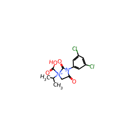 CC(C)[N+]1(C(=O)O)CC(=O)N(c2cc(Cl)cc(Cl)c2)C1=O